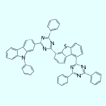 c1ccc(-c2nc(-c3ccc4c5ccccc5n(-c5ccccc5)c4c3)nc(-c3cccc4c3sc3cccc(-c5nc(-c6ccccc6)nc(-c6ccccc6)n5)c34)n2)cc1